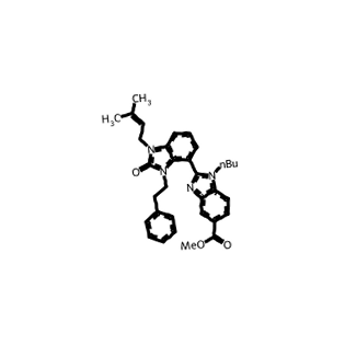 CCCCn1c(-c2cccc3c2n(CCc2ccccc2)c(=O)n3CC=C(C)C)nc2cc(C(=O)OC)ccc21